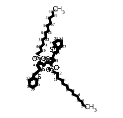 CCCCCCCCCCCCCCS(=O)(=O)c1cc(-c2cc3ccccc3s2)sc1-c1sc(-c2cc3ccccc3s2)cc1S(=O)(=O)CCCCCCCCCCCCCC